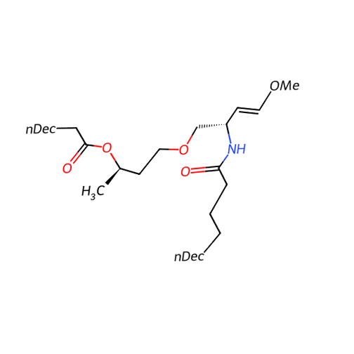 CCCCCCCCCCCCCC(=O)N[C@@H](/C=C/OC)COCC[C@@H](C)OC(=O)CCCCCCCCCCC